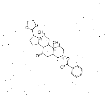 C[C@]12CCC3C(C(=O)CC4C[C@@H](OC(=O)c5ccccc5)CC[C@@]43C)C1CCC2C1OCCO1